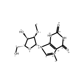 CO[C@@H]1[C@H](O)[C@@H](CO)O[C@H]1n1c[n+](C)c2c(=O)[nH]c(=O)[nH]c21